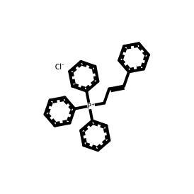 C(=Cc1ccccc1)C[P+](c1ccccc1)(c1ccccc1)c1ccccc1.[Cl-]